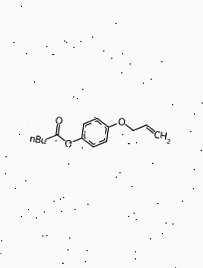 C=CCOc1ccc(OC(=O)CCCC)cc1